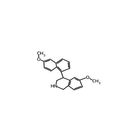 COc1ccc2c(c1)C(c1cccc3cc(OC)ccc13)CNC2